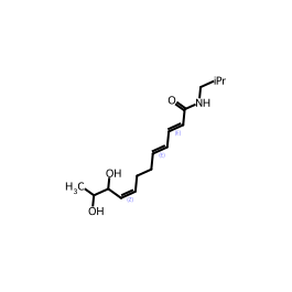 CC(C)CNC(=O)/C=C/C=C/CC/C=C\C(O)C(C)O